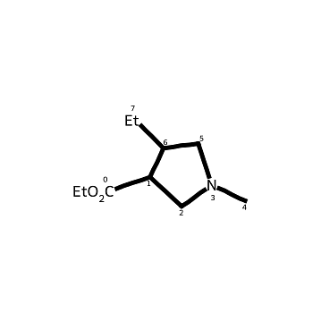 CCOC(=O)C1CN(C)CC1CC